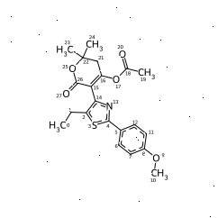 CCc1sc(-c2ccc(OC)cc2)nc1C1=C(OC(C)=O)CC(C)(C)OC1=O